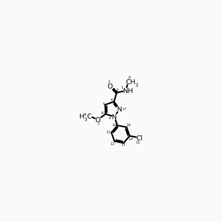 CNC(=O)c1cc(OC)n(-c2cccc(Cl)c2)n1